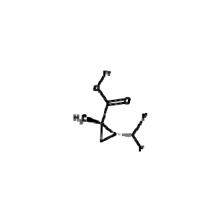 CCOC(=O)[C@@]1(C)C[C@H]1C(F)F